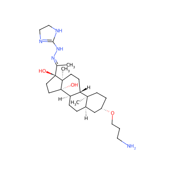 C/C(=N\NC1=NCCN1)[C@@]1(O)CC[C@]2(O)[C@@H]3CC[C@@H]4C[C@@H](OCCCN)CC[C@]4(C)[C@H]3CC[C@]12C